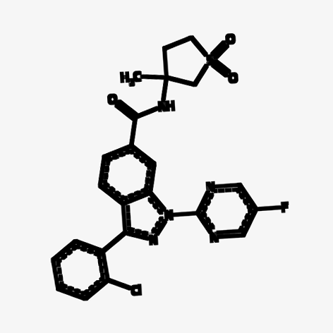 CC1(NC(=O)c2ccc3c(-c4ccccc4Cl)nn(-c4ncc(F)cn4)c3c2)CCS(=O)(=O)C1